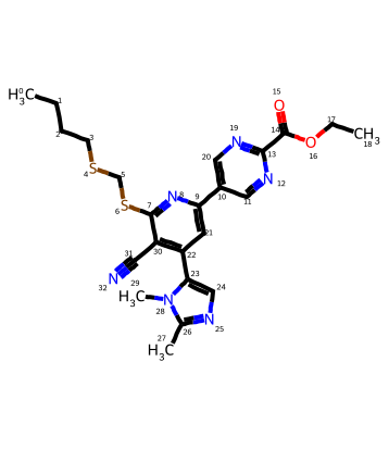 CCCCSCSc1nc(-c2cnc(C(=O)OCC)nc2)cc(-c2cnc(C)n2C)c1C#N